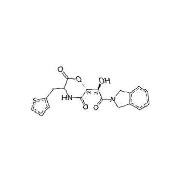 O=C1O[C@H]([C@@H](O)C(=O)N2Cc3ccccc3C2)C(=O)NC1Cc1cccs1